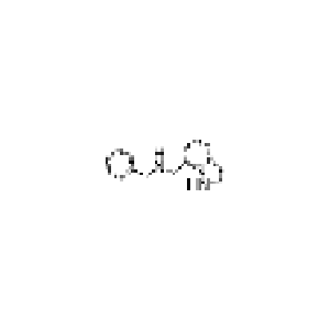 c1ccc(CNCc2cccc3cc[nH]c23)cc1